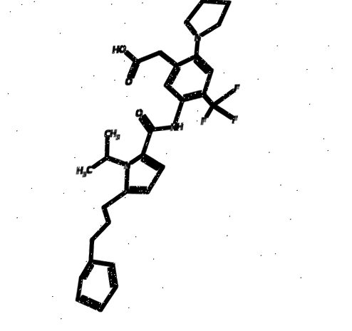 CC(C)n1c(CCCc2ccccc2)ccc1C(=O)Nc1cc(CC(=O)O)c(N2CCCC2)cc1C(F)(F)F